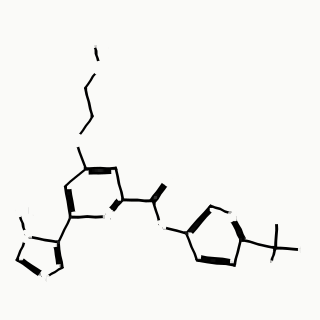 COCCOc1cc(C(=O)Nc2ccc(C(F)(F)F)nc2)nc(-c2cncn2C)c1